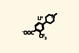 CN1CCC(c2ccc(C(=O)[O-])c(C(F)(F)F)c2)CC1.[Li+]